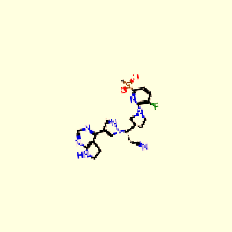 CS(=O)(=O)c1ccc(F)c(N2CC[C@H]([C@H](CC#N)n3cc(-c4ncnc5c4CCN5)cn3)C2)n1